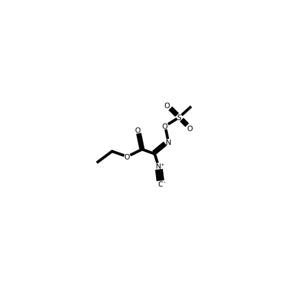 [C-]#[N+]/C(=N/OS(C)(=O)=O)C(=O)OCC